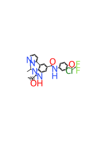 CC(C)n1c([C@H](C)O)nc2cc(C(=O)Nc3ccc(OC(F)(F)Cl)cc3)cc(-c3cccnn3)c21